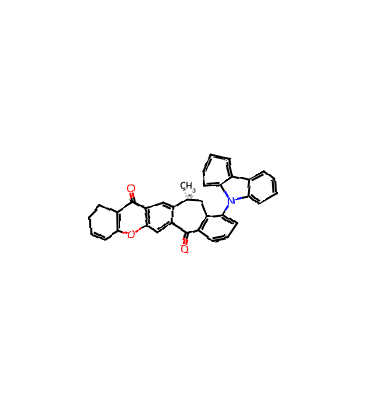 C[C@@H]1Cc2c(cccc2-n2c3ccccc3c3ccccc32)C(=O)c2cc3oc4c(c(=O)c3cc21)CCC=C4